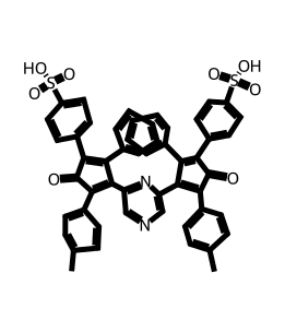 Cc1ccc(C2=C(c3cncc(C4=C(c5ccc(C)cc5)C(=O)C(c5ccc(S(=O)(=O)O)cc5)=C4c4ccccc4)n3)C(c3ccccc3)=C(c3ccc(S(=O)(=O)O)cc3)C2=O)cc1